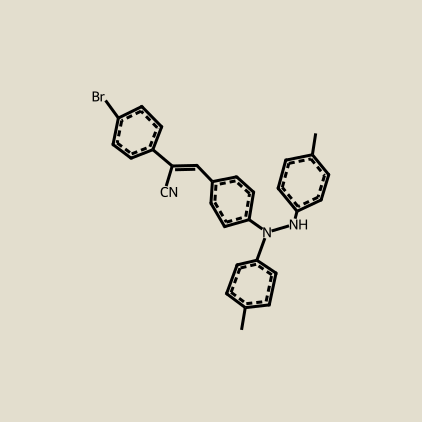 Cc1ccc(NN(c2ccc(C)cc2)c2ccc(/C=C(\C#N)c3ccc(Br)cc3)cc2)cc1